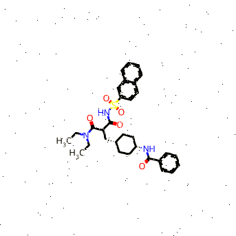 CCN(CC)C(=O)C(C[C@H]1CC[C@@H](NC(=O)c2ccccc2)CC1)C(=O)NS(=O)(=O)c1ccc2ccccc2c1